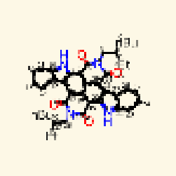 CCCCC(CC)CN1C(=O)c2c3[nH]c4ccccc4c3c3c4c(c5[nH]c6ccccc6c5c(c24)C1=O)C(=O)N(CC(CC)CCCC)C3=O